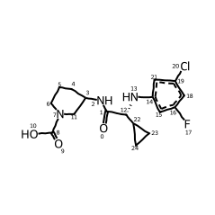 O=C(NC1CCCN(C(=O)O)C1)[C@H](Nc1cc(F)cc(Cl)c1)C1CC1